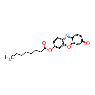 CCCCCCCC(=O)Oc1ccc2nc3ccc(=O)cc-3oc2c1